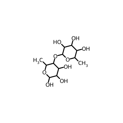 CC1OC(OC2C(C)OC(O)C(O)C2O)C(O)C(O)C1O